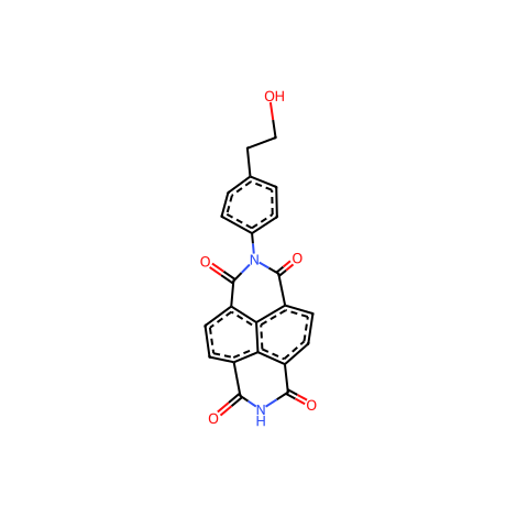 O=C1NC(=O)c2ccc3c4c(ccc1c24)C(=O)N(c1ccc(CCO)cc1)C3=O